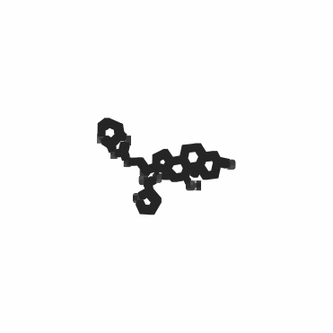 CC12CCC(=O)C=C1CCC1C2[C@@H](O)CC2(C)C1CC[C@]2(OC(=O)c1ccco1)C(=O)CSc1nc2cccnc2s1